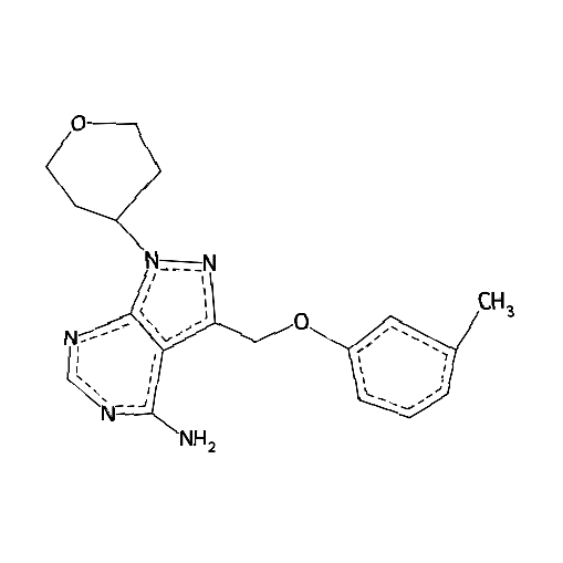 Cc1cccc(OCc2nn(C3CCOCC3)c3ncnc(N)c23)c1